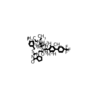 [2H]c1c([2H])c(C([2H])([2H])N(C(=O)Cn2c(SCc3ccc(F)cc3)nc(=O)c3c2CCC3)C([2H])([2H])C([2H])([2H])N(CC)CC)c([2H])c(C)c1-c1ccc(C(F)(F)F)cc1